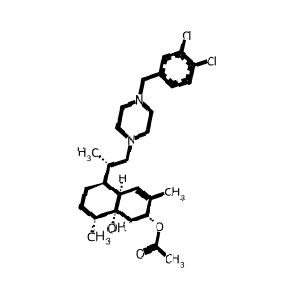 CC(=O)O[C@@H]1[C][C@@]2(O)[C@H](C)CC[C@@H]([C@H](C)CN3CCN(Cc4ccc(Cl)c(Cl)c4)CC3)[C@H]2C=C1C